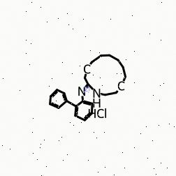 Cl.c1ccc(-c2ccccc2/N=C2/CCCCCCCCCCCN2)cc1